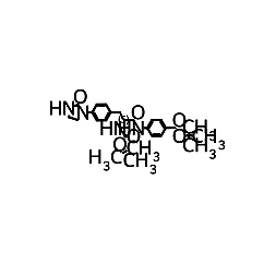 CC(C)(C)OC(=O)N[C@@H](Cc1ccc(N2CCNC2=O)cc1)C(=O)Nc1ccc(C(=O)OC(C)(C)C)cc1